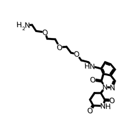 NCCOCCOCCOCCNc1cccc2cnn(C3CCC(=O)NC3=O)c(=O)c12